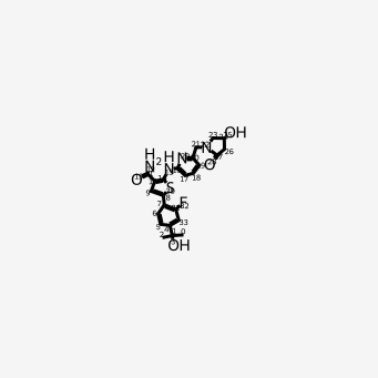 CC(C)(O)c1ccc(-c2cc(C(N)=O)c(Nc3cccc(CN4C[C@H](O)CC4=O)n3)s2)c(F)c1